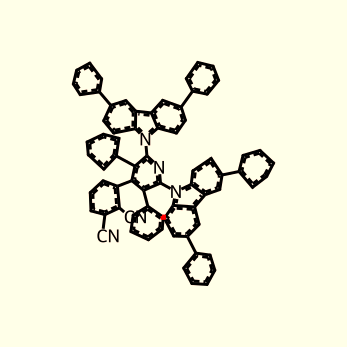 N#Cc1cccc(-c2c(-c3ccccc3)c(-n3c4ccc(-c5ccccc5)cc4c4cc(-c5ccccc5)ccc43)nc(-n3c4ccc(-c5ccccc5)cc4c4cc(-c5ccccc5)ccc43)c2-c2ccccc2)c1C#N